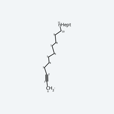 [CH2]C#CCCCCCCCCCCCCCC[CH2]